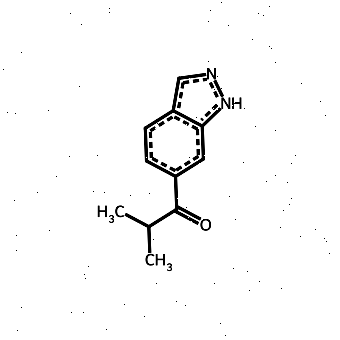 CC(C)C(=O)c1ccc2cn[nH]c2c1